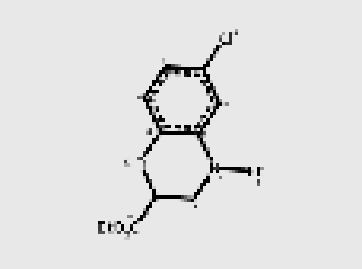 CCOC(=O)C1CN(CC)c2cc(Cl)ccc2O1